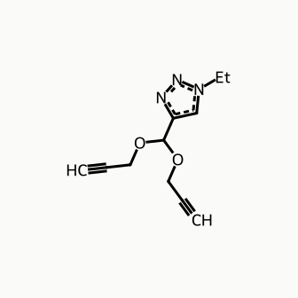 C#CCOC(OCC#C)c1cn(CC)nn1